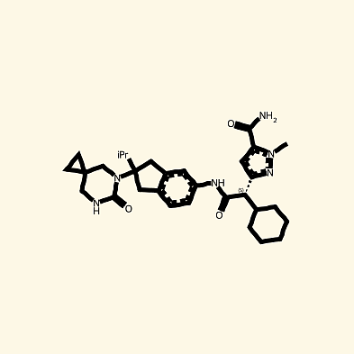 CC(C)C1(N2CC3(CC3)CNC2=O)Cc2ccc(NC(=O)[C@H](c3cc(C(N)=O)n(C)n3)C3CCCCC3)cc2C1